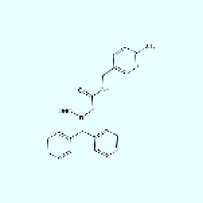 O=CN(CC(=O)NCc1ccc(C(F)(F)F)cc1)C(c1ccccc1)c1ccccc1